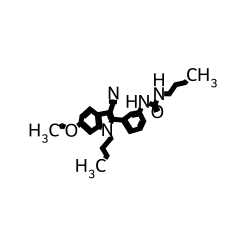 CCCCNC(=O)Nc1cccc(-c2c(C#N)c3ccc(OCC)cc3n2CCCC)c1